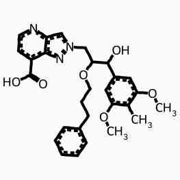 COc1cc(C(O)C(Cn2cc3nccc(C(=O)O)c3n2)OCCCc2ccccc2)cc(OC)c1C